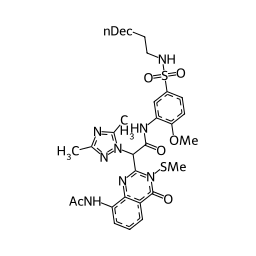 CCCCCCCCCCCCNS(=O)(=O)c1ccc(OC)c(NC(=O)C(c2nc3c(NC(C)=O)cccc3c(=O)n2SC)n2nc(C)nc2C)c1